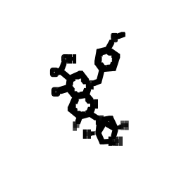 CSc1ccc(Cn2cc(C(=O)O)c(=O)c3cc(F)c(N4C[C@@H]5C[C@H]4CN5)nc32)cc1